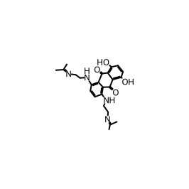 CC(C)=NCCNc1ccc(NCCN=C(C)C)c2c1C(=O)c1c(O)ccc(O)c1C2=O